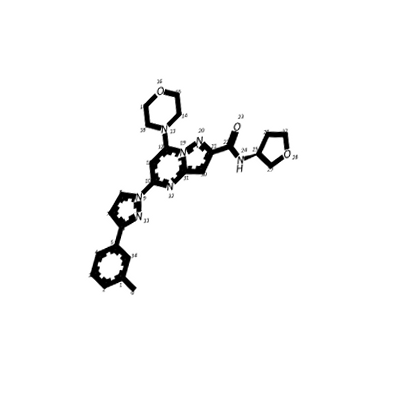 Cc1cccc(-c2ccn(-c3cc(N4CCOCC4)n4nc(C(=O)N[C@H]5CCOC5)cc4n3)n2)c1